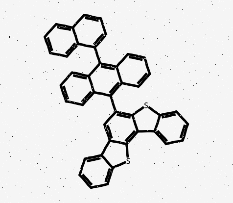 c1ccc2c(-c3c4ccccc4c(-c4cc5c6ccccc6sc5c5c4sc4ccccc45)c4ccccc34)cccc2c1